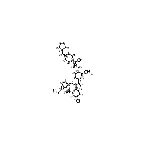 Cc1cc(C(=O)N2Cc3cnn(C)c3Nc3cc(Cl)ccc32)ccc1CNC(=O)N1CCN(CC2CCCC2)CC1